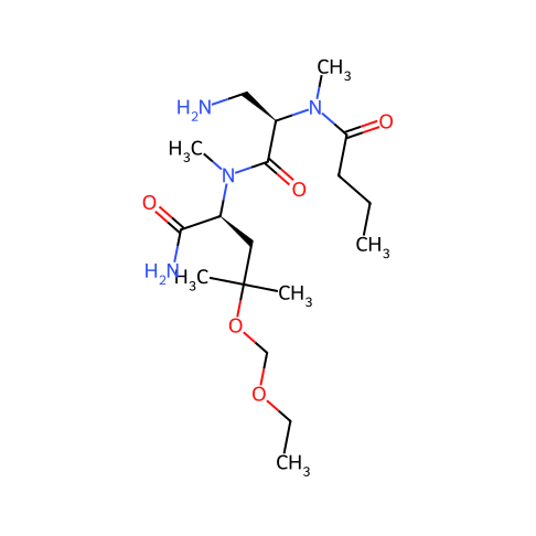 CCCC(=O)N(C)[C@H](CN)C(=O)N(C)[C@@H](CC(C)(C)OCOCC)C(N)=O